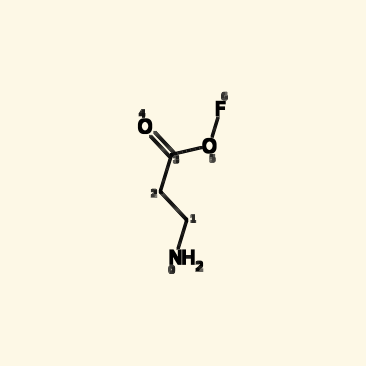 NCCC(=O)OF